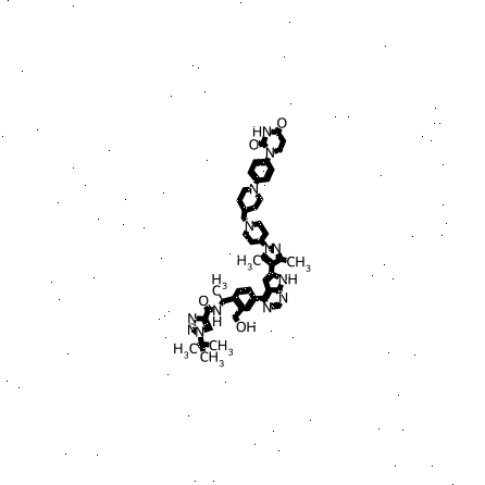 Cc1nn(C2CCN(CC3CCN(c4ccc(N5CCC(=O)NC5=O)cc4)CC3)CC2)c(C)c1-c1cc2c(-c3ccc([C@@H](C)NC(=O)c4cn(C(C)(C)C)nn4)c(CO)c3)ncnc2[nH]1